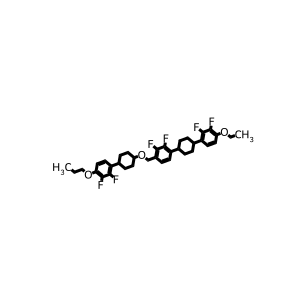 CCCOc1ccc(C2CCC(OCc3ccc(C4CCC(c5ccc(OCC)c(F)c5F)CC4)c(F)c3F)CC2)c(F)c1F